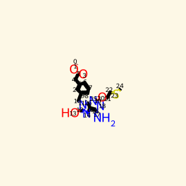 COC(=O)Cc1cccc(Cn2c(O)nc3c(N)nc(OCCSC)nc32)c1